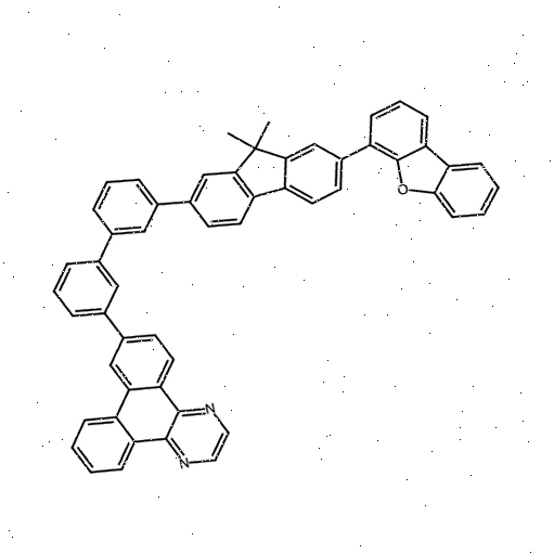 CC1(C)c2cc(-c3cccc(-c4cccc(-c5ccc6c(c5)c5ccccc5c5nccnc65)c4)c3)ccc2-c2ccc(-c3cccc4c3oc3ccccc34)cc21